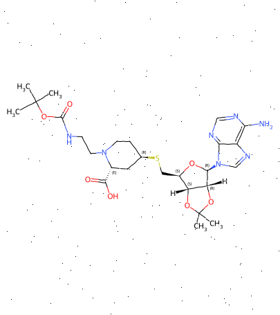 CC(C)(C)OC(=O)NCCN1CC[C@@H](SC[C@H]2O[C@@H](n3cnc4c(N)ncnc43)[C@@H]3OC(C)(C)O[C@@H]32)C[C@@H]1C(=O)O